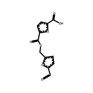 O=Cc1ccc(COC(=O)c2ccc(C(=O)O)o2)o1